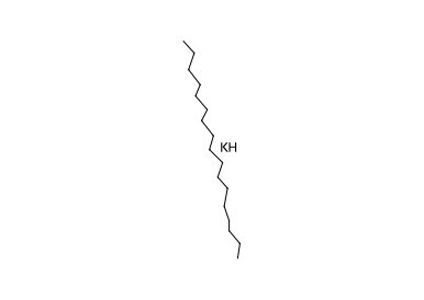 CCCCCCCCCCCCCCCCC.[KH]